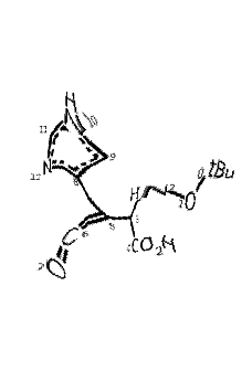 CC(C)(C)ONC(C(=O)O)C(=C=O)c1c[nH]cn1